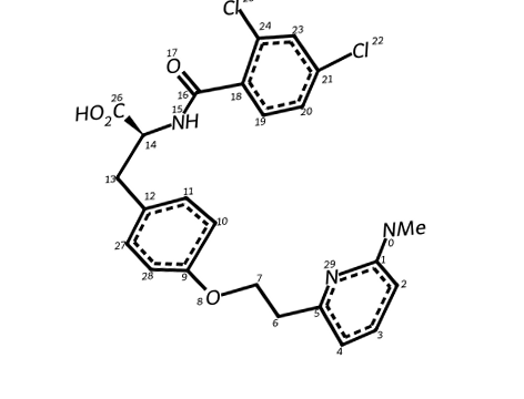 CNc1cccc(CCOc2ccc(C[C@H](NC(=O)c3ccc(Cl)cc3Cl)C(=O)O)cc2)n1